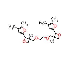 CCC1(COCCOCC2(CC)COC2c2cc(C)c(C)o2)COC1c1cc(C)c(C)o1